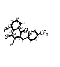 CC1=C(Cc2ccc(C(F)(F)F)cn2)C(=O)c2cccc(F)c2C1=O